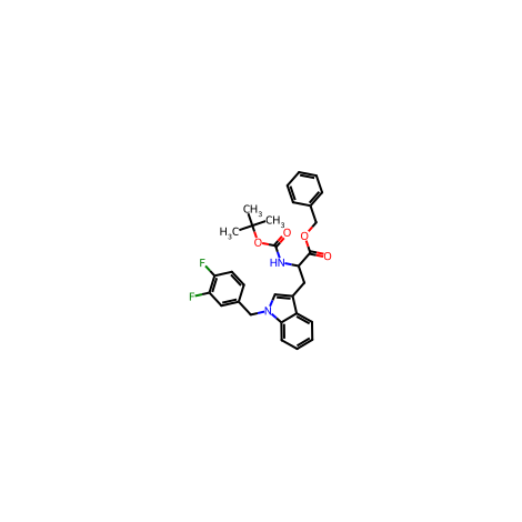 CC(C)(C)OC(=O)NC(Cc1cn(Cc2ccc(F)c(F)c2)c2ccccc12)C(=O)OCc1ccccc1